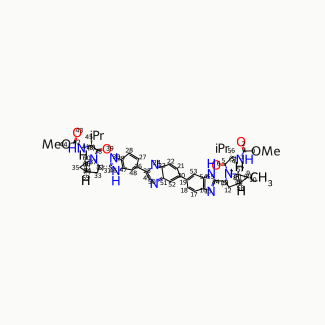 COC(=O)N[C@H](C(=O)N1[C@@H]2[C@H](C)[C@@H]2C[C@H]1c1nc2ccc(-c3ccc4nc(-c5ccc6nc([C@@H]7C[C@H]8C[C@H]8N7C(=O)[C@@H](NC(=O)OC)C(C)C)[nH]c6c5)cnc4c3)cc2[nH]1)C(C)C